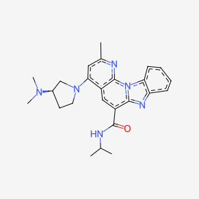 Cc1cc(N2CC[C@@H](N(C)C)C2)c2cc(C(=O)NC(C)C)c3nc4ccccc4n3c2n1